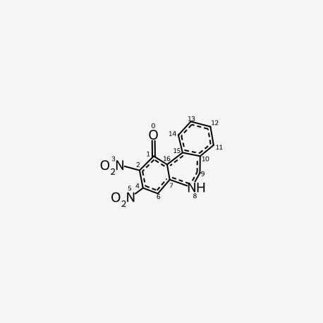 O=c1c([N+](=O)[O-])c([N+](=O)[O-])cc2[nH]cc3ccccc3c1-2